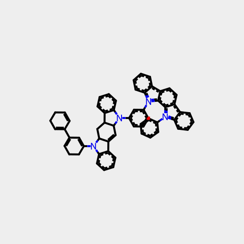 C1=CC(C2=CCCC(N3c4ccccc4C4=CC5C(CC43)c3ccccc3N5c3cccc(-n4c5ccccc5c5ccc6c7ccccc7n(-c7ccccc7)c6c54)c3)=C2)=CCC1